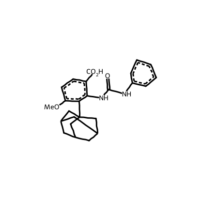 COc1ccc(C(=O)O)c(NC(=O)Nc2ccccc2)c1C12CC3CC(CC(C3)C1)C2